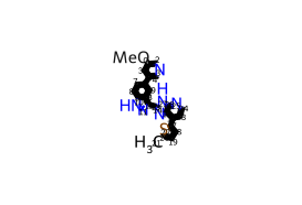 COc1cncc(-c2ccc3[nH]nc(-c4nc5c(-c6ccc(C)s6)ccnc5[nH]4)c3c2)c1